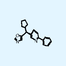 c1ccc(-c2ccc(C(c3cnco3)C3CCCC3)cn2)cc1